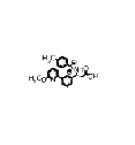 COc1cccc(-c2cccc([C@@H](CC(=O)O)NS(=O)(=O)c3ccc(C)cc3)c2)n1